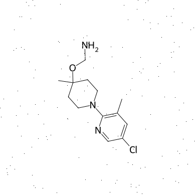 Cc1cc(Cl)cnc1N1CCC(C)(OCN)CC1